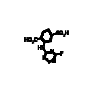 O=C(O)c1ccc(S(=O)(=O)O)cc1Nc1n[c]nc(F)n1